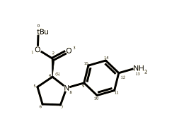 CC(C)(C)OC(=O)[C@@H]1CCCN1c1ccc(N)cc1